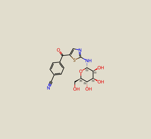 N#Cc1ccc(C(=O)c2cnc(N[C@H]3O[C@H](CO)[C@@H](O)[C@H](O)[C@@H]3O)s2)cc1